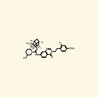 COc1ccc(CCn2cnc3cc(NC(=N[C@H]4C[C@@H]5C[C@H]([C@@H]4C)C5(C)C)N4CCCC(O)C4)ccc3c2=O)c(F)c1